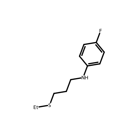 CCSCCCNc1ccc(F)cc1